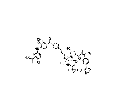 CNc1nc(Nc2ccc(C(=O)N3CCN(CCCSC(C)(C)[C@H](NC(=O)C4(F)CC4)C(=O)N4C[C@H](O)C[C@H]4C(=O)N[C@@H](C)c4ccc(-c5scnc5C)cc4)CC3)cc2OC)ncc1Cl